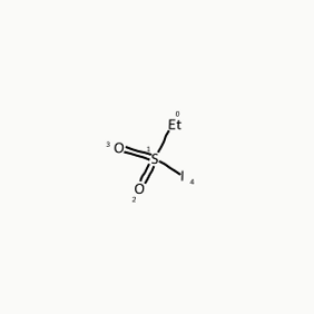 [CH2]CS(=O)(=O)I